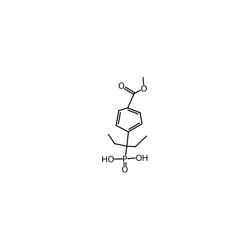 CCC(CC)(c1ccc(C(=O)OC)cc1)P(=O)(O)O